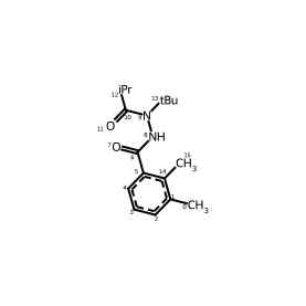 Cc1cccc(C(=O)NN(C(=O)C(C)C)C(C)(C)C)c1C